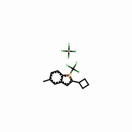 Cc1ccc2c(c1)cc(C1CCC1)[s+]2C(F)(F)F.F[B-](F)(F)F